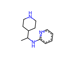 CC(Nc1ccccn1)C1CCNCC1